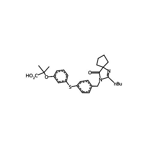 CCCCC1=NC2(CCCC2)C(=O)N1Cc1ccc(Sc2cccc(OC(C)(C)C(=O)O)c2)cc1